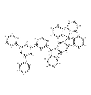 c1ccc(-c2nc(-c3ccccc3)nc(-c3cccc(-n4c5ccccc5c5cc6c(cc54)C(c4ccccc4)(c4ccccc4)c4ccccc4-6)c3)n2)cc1